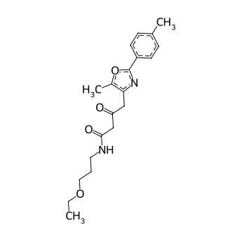 CCOCCCNC(=O)CC(=O)Cc1nc(-c2ccc(C)cc2)oc1C